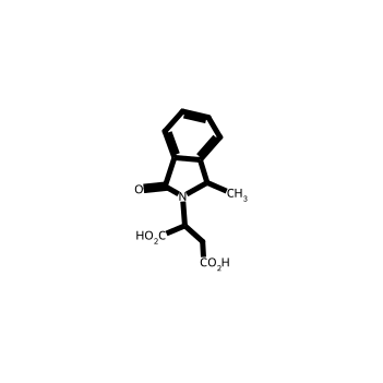 CC1c2ccccc2C(=O)N1C(CC(=O)O)C(=O)O